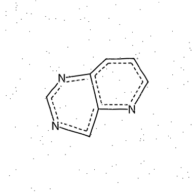 [c]1cnc2cncnc2c1